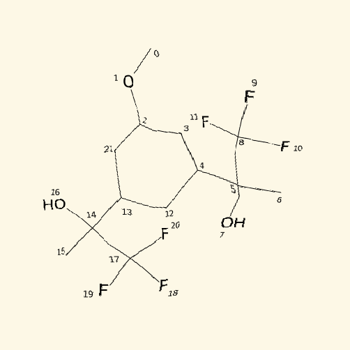 COC1CC(C(C)(O)C(F)(F)F)CC(C(C)(O)C(F)(F)F)C1